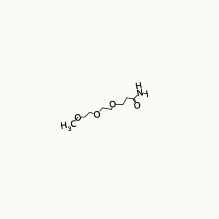 COCCOCCOCCC(=O)NI